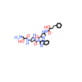 NC[C@H](O)C(=O)NC1CN[C@H](C(=O)N(C(=O)[C@@H]2C[C@@H](NC(=O)[C@H](O)CCc3ccccc3)CN2)c2cnc3ccccc3c2)C1